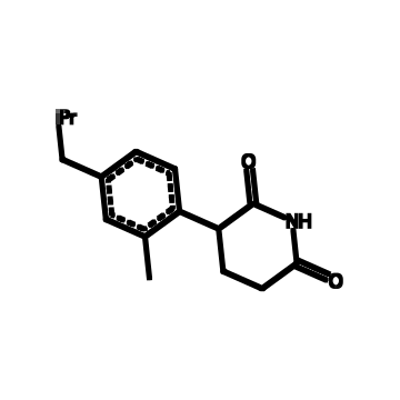 Cc1cc(CC(C)C)ccc1C1CCC(=O)NC1=O